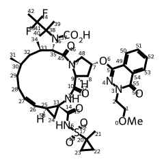 COCCn1nc(O[C@@H]2C[C@H]3C(=O)N[C@]4(C(=O)NS(=O)(=O)C5(C)CC5)C[C@H]4/C=C\CC[C@@H](C)C[C@@H](C)[C@H](N(C(=O)O)C(C)(C)C(C)(F)F)C(=O)N3C2)c2ccccc2c1=O